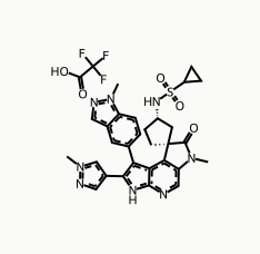 CN1C(=O)[C@@]2(CC[C@H](NS(=O)(=O)C3CC3)C2)c2c1cnc1[nH]c(-c3cnn(C)c3)c(-c3ccc4c(cnn4C)c3)c21.O=C(O)C(F)(F)F